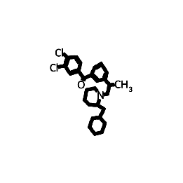 CC(CN1CCCCC1CC1CCCCC1)c1cccc(C(=O)c2ccc(Cl)c(Cl)c2)c1